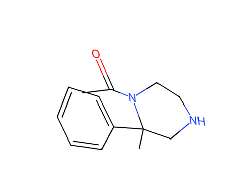 CC(=O)N1CCNCC1(C)c1ccccc1